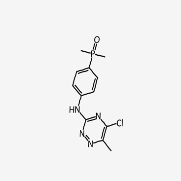 Cc1nnc(Nc2ccc(P(C)(C)=O)cc2)nc1Cl